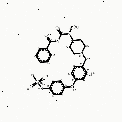 CCCCN(C(=O)NC(=O)c1ccccc1)C1CCN(Cc2ccc(Oc3ccc(NS(C)(=O)=O)cc3)cc2)CC1.Cl